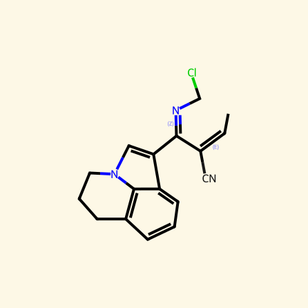 C/C=C(C#N)\C(=N/CCl)c1cn2c3c(cccc13)CCC2